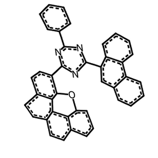 c1ccc(-c2nc(-c3ccc4ccc5ccc6cccc7c6c5c4c3O7)nc(-c3cc4ccccc4c4ccccc34)n2)cc1